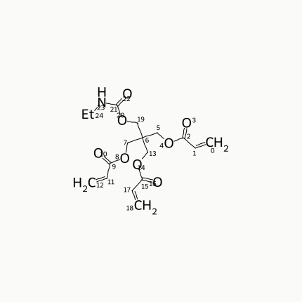 C=CC(=O)OCC(COC(=O)C=C)(COC(=O)C=C)COC(=O)NCC